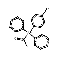 [CH2]c1ccc([N+](C(C)=O)(c2ccccc2)c2ccccc2)cc1